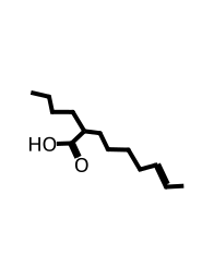 CC=CCCCCC(CCCC)C(=O)O